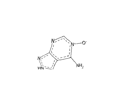 Nc1c2c[nH]nc2nc[n+]1[O-]